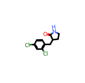 O=C1NCCC1Cc1ccc(Cl)cc1Cl